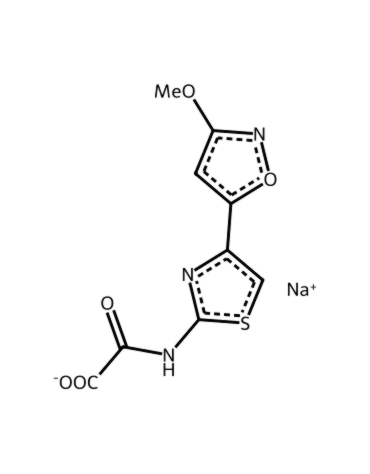 COc1cc(-c2csc(NC(=O)C(=O)[O-])n2)on1.[Na+]